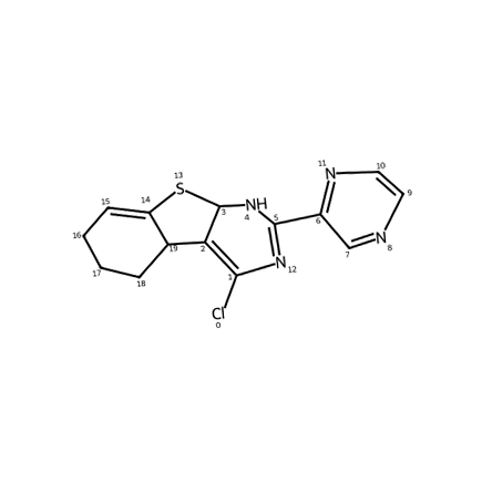 ClC1=C2C(NC(c3cnccn3)=N1)SC1=CCCCC12